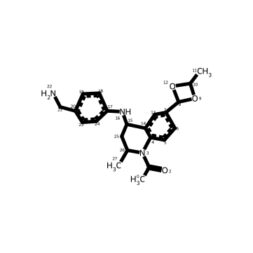 CC(=O)N1c2ccc(C3OC(C)O3)cc2C(Nc2ccc(CN)cc2)CC1C